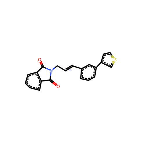 O=C1c2ccccc2C(=O)N1C/C=C/c1cccc(-c2ccsc2)c1